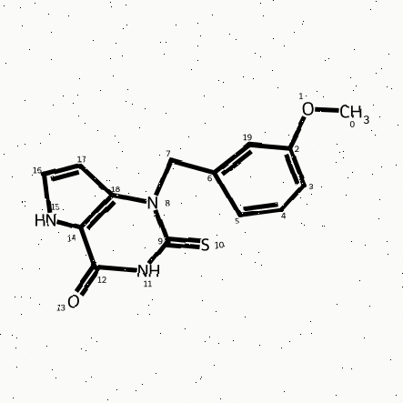 COc1cccc(Cn2c(=S)[nH]c(=O)c3[nH]ccc32)c1